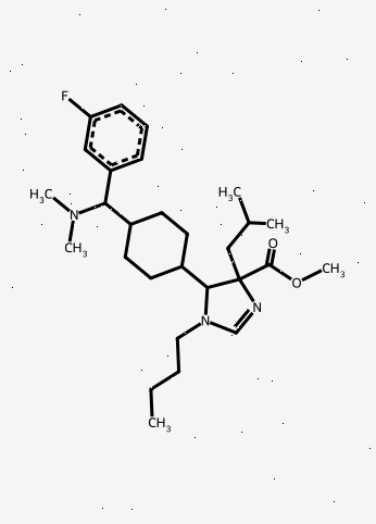 CCCCN1C=NC(CC(C)C)(C(=O)OC)C1C1CCC(C(c2cccc(F)c2)N(C)C)CC1